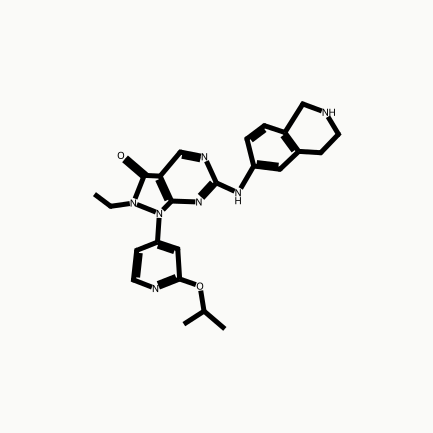 CCn1c(=O)c2cnc(Nc3ccc4c(c3)CCNC4)nc2n1-c1ccnc(OC(C)C)c1